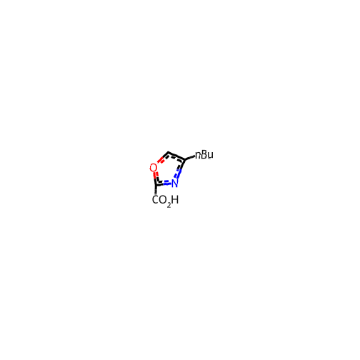 CCCCc1coc(C(=O)O)n1